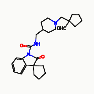 O=CC1(CN2CCC(CNC(=O)N3C(=O)C4(CCCC4)c4ccccc43)CC2)CCCC1